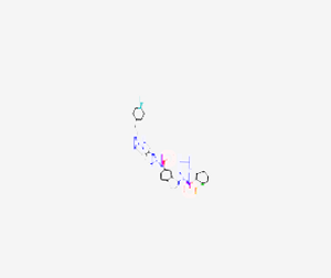 Cc1cccc(Cl)c1C(=O)NC1CCc2ccc(C(=O)N3CCC4(CCN(CCCc5ccc(F)cc5)CC4)C3)cc21